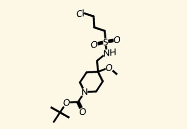 COC1(CNS(=O)(=O)CCCCl)CCN(C(=O)OC(C)(C)C)CC1